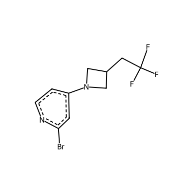 FC(F)(F)CC1CN(c2ccnc(Br)c2)C1